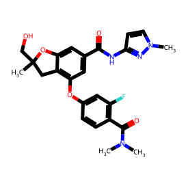 CN(C)C(=O)c1ccc(Oc2cc(C(=O)Nc3ccn(C)n3)cc3c2CC(C)(CO)O3)cc1F